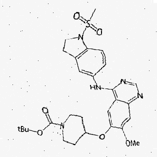 COc1cc2ncnc(Nc3ccc4c(c3)CCN4S(C)(=O)=O)c2cc1OC1CCN(C(=O)OC(C)(C)C)CC1